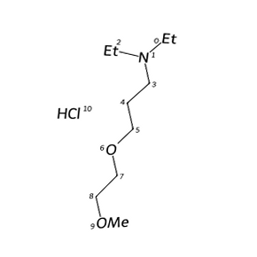 CCN(CC)CCCOCCOC.Cl